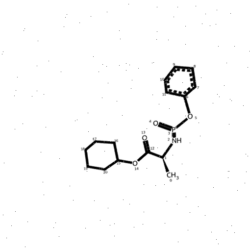 C[C@H](N[PH](=O)Oc1ccccc1)C(=O)OC1CCCCC1